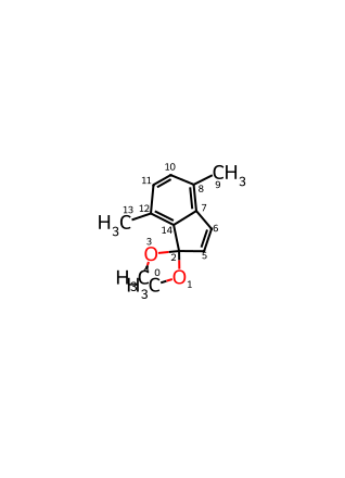 COC1(OC)C=Cc2c(C)ccc(C)c21